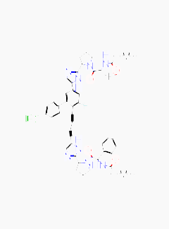 COC(=O)NC(C(=O)N1CCCC1c1ncc(C#CC#Cc2c(F)cc(-c3cnc(C4CCCN4C(=O)[C@@H](NC(=O)OC)C(C)C)[nH]3)cc2-c2ccccc2)[nH]1)c1ccccc1.Cl.Cl